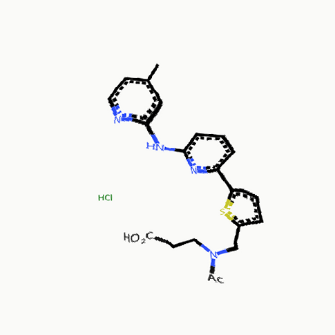 CC(=O)N(CCC(=O)O)Cc1ccc(-c2cccc(Nc3cc(C)ccn3)n2)s1.Cl